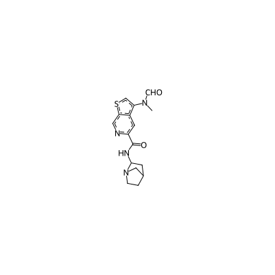 CN(C=O)c1csc2cnc(C(=O)NC3CC4CCN3C4)cc12